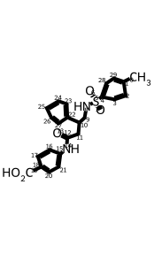 Cc1ccc(S(=O)(=O)NCC(CC(=O)Nc2ccc(C(=O)O)cc2)c2ccccc2)cc1